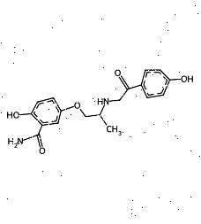 CC(COc1ccc(O)c(C(N)=O)c1)NCC(=O)c1ccc(O)cc1